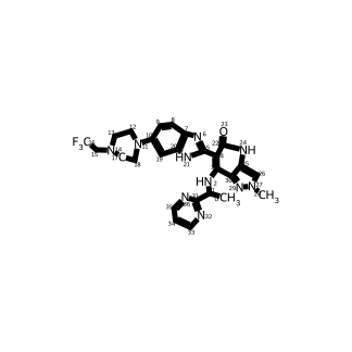 CC(Nc1c(-c2nc3ccc(N4CCN(CC(F)(F)F)CC4)cc3[nH]2)c(=O)[nH]c2cn(C)nc12)c1ncccn1